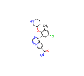 Cc1cc(Cl)cc(-c2ncnn3cc(C(N)=O)cc23)c1OC1CCCNC1